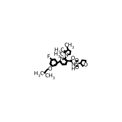 CC(C)COc1cc(F)cc(-c2ccc(C(=O)NS(=O)(=O)C3CCOC3)c(N3CCC(C)C3(C)C)n2)c1